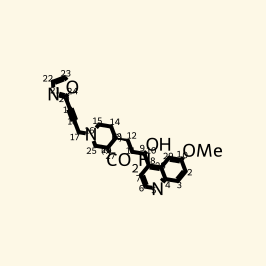 COc1ccc2nccc(C(O)CC[C@@H]3CCN(CC#Cc4ncco4)C[C@@H]3C(=O)O)c2c1